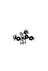 Cn1ncc(Br)c1-c1cc(NC(=O)Nc2ccc(C(F)(F)F)cc2)cc(-c2ccc(F)cc2)c1